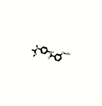 CCCCOc1cccc(C(=O)Nc2ccc(N(C)C(C)=NC)cc2)c1